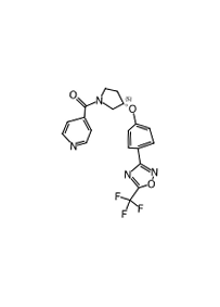 O=C(c1ccncc1)N1CC[C@H](Oc2ccc(-c3noc(C(F)(F)F)n3)cc2)C1